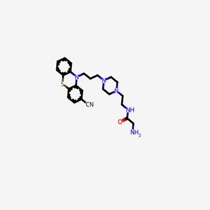 N#Cc1ccc2c(c1)N(CCCN1CCN(CCNC(=O)CN)CC1)c1ccccc1S2